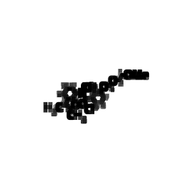 COCCOCOc1ccc(Cl)c(C(=O)N(C)c2cccc3c(C)c(C)oc23)c1Cl